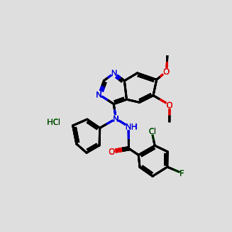 COc1cc2ncnc(N(NC(=O)c3ccc(F)cc3Cl)c3ccccc3)c2cc1OC.Cl